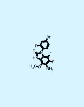 COc1c(N)c(F)c(F)c2c1[nH]c(=O)n2-c1ccc(Br)cc1F